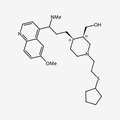 CNC(CC[C@@H]1CCN(CCSC2CCCC2)C[C@@H]1CO)c1ccnc2ccc(OC)cc12